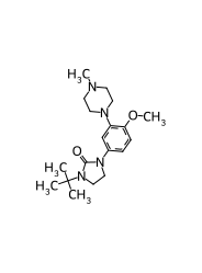 COc1ccc(N2CCN(C(C)(C)C)C2=O)cc1N1CCN(C)CC1